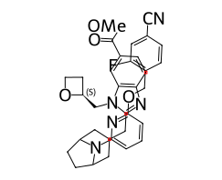 COC(=O)c1ccc2nc(CC3CC4CCC(C3)N4c3cccc(OCc4ccc(C#N)cc4F)n3)n(C[C@@H]3CCO3)c2c1